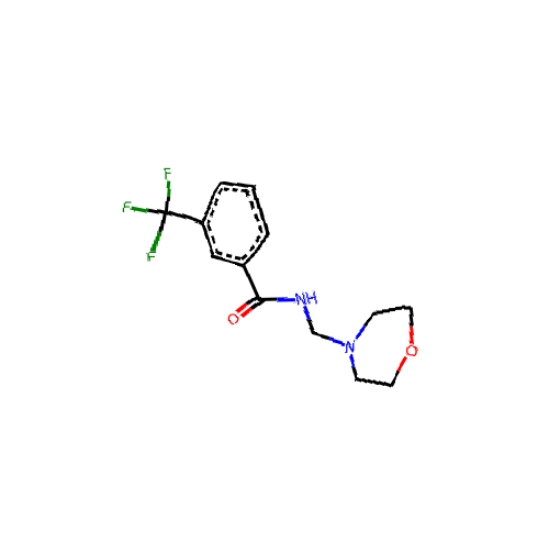 O=C(NCN1CCOCC1)c1cccc(C(F)(F)F)c1